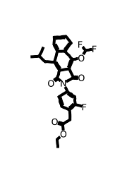 CCOC(=O)Cc1ccc(N2C(=O)c3c(c(OC(F)F)c4ccccc4c3CC(C)C)C2=O)cc1F